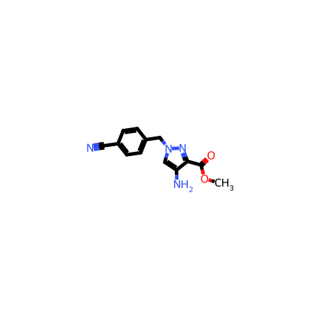 COC(=O)c1nn(Cc2ccc(C#N)cc2)cc1N